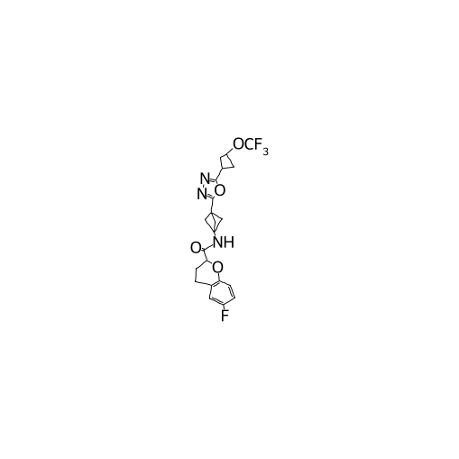 O=C(NC12CC(c3nnc(C4CC(OC(F)(F)F)C4)o3)(C1)C2)C1CCc2cc(F)ccc2O1